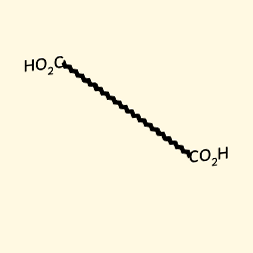 O=C(O)CCCCCCCC=CCC=CCCCCCCCCCCCCCCCCCCC=CCC=CCCCCCCCC(=O)O